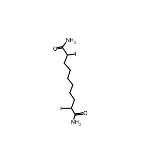 NC(=O)C(I)CCCCCCC(I)C(N)=O